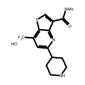 CNC(=O)c1csc2c(C(F)(F)F)cc(C3CCNCC3)nc12.Cl